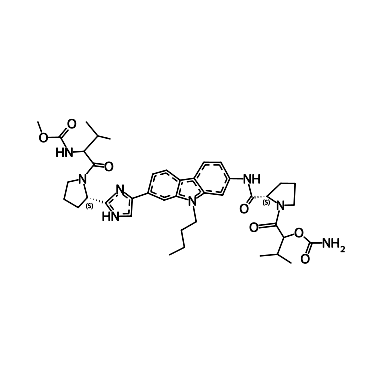 CCCCn1c2cc(NC(=O)[C@@H]3CCCN3C(=O)C(OC(N)=O)C(C)C)ccc2c2ccc(-c3c[nH]c([C@@H]4CCCN4C(=O)C(NC(=O)OC)C(C)C)n3)cc21